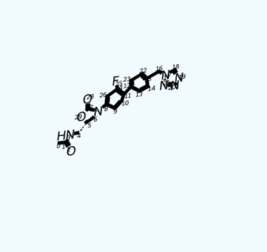 CC(=O)NC[C@H]1CN(c2ccc(-c3ccc(Cn4cnnn4)cc3)c(F)c2)C(=O)O1